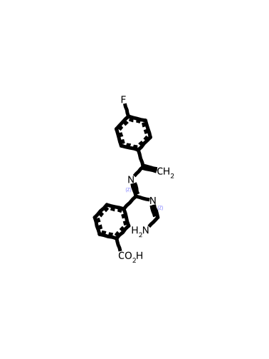 C=C(/N=C(\N=C/N)c1cccc(C(=O)O)c1)c1ccc(F)cc1